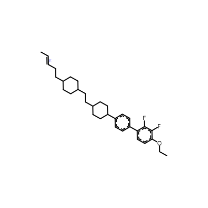 C/C=C/CCC1CCC(CCC2CCC(c3ccc(-c4ccc(OCC)c(F)c4F)cc3)CC2)CC1